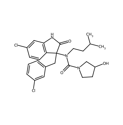 CC(C)CCN(C(=O)N1CCC(O)C1)C1(Cc2cccc(Cl)c2)C(=O)Nc2cc(Cl)ccc21